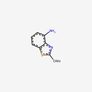 COc1nc2c(N)cccc2s1